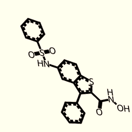 O=C(NO)c1sc2ccc(NS(=O)(=O)c3ccccc3)cc2c1-c1ccccc1